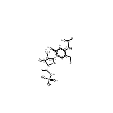 CCc1cn([C@@H]2O[C@H](C(C)OP(=O)(O)O)[C@@H](O)[C@H]2O)c(=O)nc1NC(C)=O